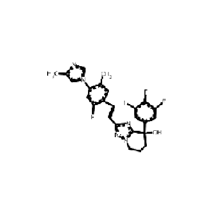 Cc1cn(-c2cc(F)c(/C=C/c3nc4n(n3)CCC[C@@]4(O)c3cc(F)c(F)c(F)c3)cc2C)cn1